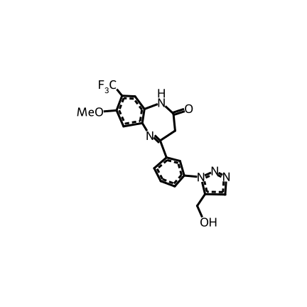 COc1cc2c(cc1C(F)(F)F)NC(=O)CC(c1cccc(-n3nncc3CO)c1)=N2